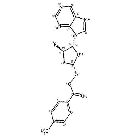 Cc1ccc(C(=O)OC[C@@H]2C[C@@H](F)[C@H](n3cnc4cncnc43)O2)cc1